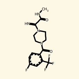 CNC(=O)C(=N)N1CCN(C(=O)c2ccc(F)cc2C(F)(F)F)CC1